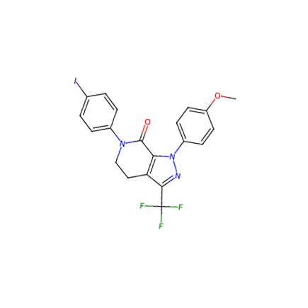 COc1ccc(-n2nc(C(F)(F)F)c3c2C(=O)N(c2ccc(I)cc2)CC3)cc1